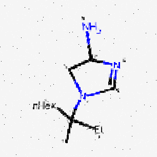 CCCCCCC(C)(CC)N1C=NC(N)C1